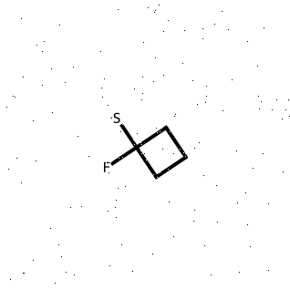 FC1([S])CCC1